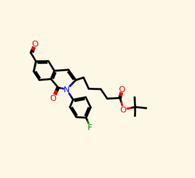 CC(C)(C)OC(=O)CCCCc1cc2cc(C=O)ccc2c(=O)n1-c1ccc(F)cc1